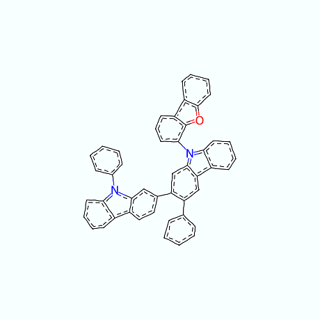 c1ccc(-c2cc3c4ccccc4n(-c4cccc5c4oc4ccccc45)c3cc2-c2ccc3c4ccccc4n(-c4ccccc4)c3c2)cc1